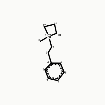 C[Si]1(CCc2ccccc2)CCC1